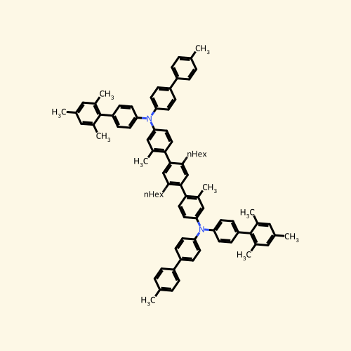 CCCCCCc1cc(-c2ccc(N(c3ccc(-c4ccc(C)cc4)cc3)c3ccc(-c4c(C)cc(C)cc4C)cc3)cc2C)c(CCCCCC)cc1-c1ccc(N(c2ccc(-c3ccc(C)cc3)cc2)c2ccc(-c3c(C)cc(C)cc3C)cc2)cc1C